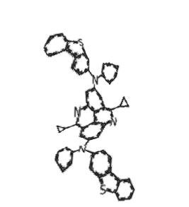 c1ccc(N(c2ccc3c(c2)sc2ccccc23)c2cc3nc(C4CC4)c4cc(N(c5ccccc5)c5ccc6c(c5)sc5ccccc56)cc5nc(C6CC6)c(c2)c3c54)cc1